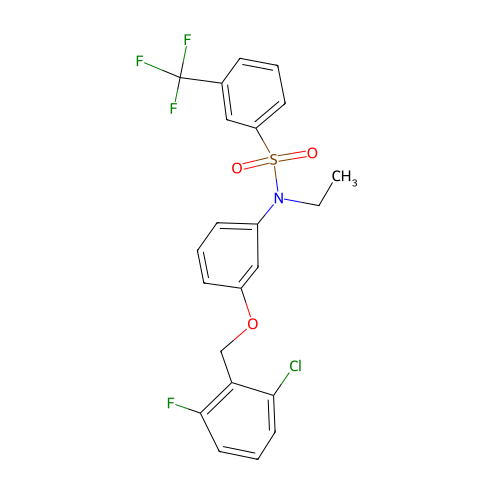 CCN(c1cccc(OCc2c(F)cccc2Cl)c1)S(=O)(=O)c1cccc(C(F)(F)F)c1